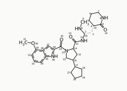 CN[C@H](C[C@@H]1CCCNC1=O)NC(=O)C1CC(C2CCCC2)CN1C(=O)c1cc2c(OC)cccc2[nH]1